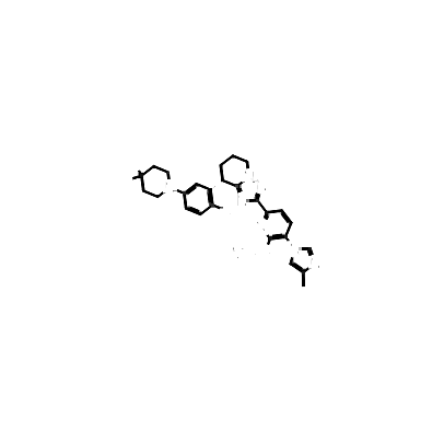 COc1nc(-c2nc3n(n2)CCC[C@@H]3c2cc(N3CCC(F)(F)CC3)ccc2Br)ccc1-n1cnc(C)c1